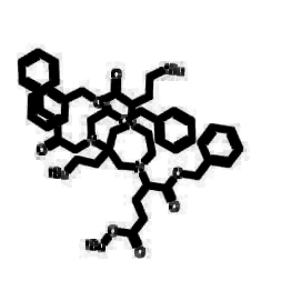 CC(C)(C)CCC(C(=O)OCc1ccccc1)N1CCN(C(CCC(=O)OC(C)(C)C)C(=O)OCc2ccccc2)CC(CCC(C)(C)C)(N(CC(=O)OCc2ccccc2)CC(=O)OCc2ccccc2)C1